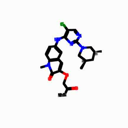 CNC(=O)COc1cc2cc(Nc3nc(N4C[C@H](C)C[C@@H](C)C4)ncc3Cl)ccc2n(C)c1=O